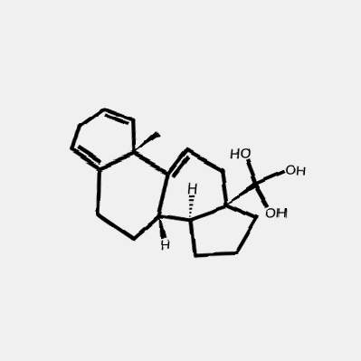 C[C@]12C=CCC=C1CC[C@@H]1C2=CC[C@]2(C(O)(O)O)CCC[C@@H]12